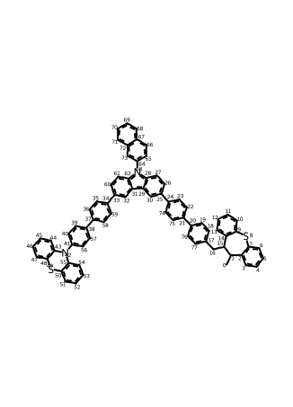 CC1c2ccccc2Sc2ccccc2C1Cc1ccc(-c2ccc(-c3ccc4c(c3)c3cc(-c5ccc(-c6ccc(N7c8ccccc8Sc8ccccc87)cc6)cc5)ccc3n4-c3ccc4ccccc4c3)cc2)cc1